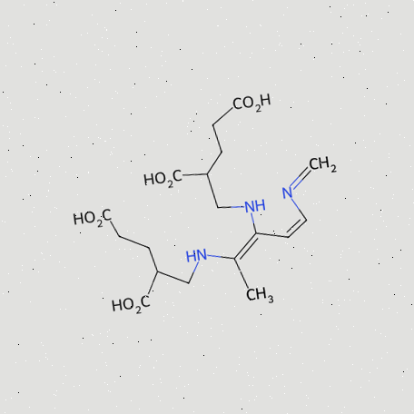 C=N/C=C\C(NCC(CCC(=O)O)C(=O)O)=C(/C)NCC(CCC(=O)O)C(=O)O